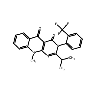 CC(C)c1nc2c(c(=O)c3ccccc3n2C)c(=O)n1-c1ccccc1C(F)(F)F